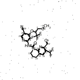 COCC(Oc1cc(NC(=O)N2CCCc3cc(C(F)F)c(C=O)nc32)ncc1C#N)C(F)(F)F